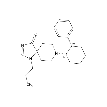 O=C1N=CN(CCC(F)(F)F)C12CCN([C@H]1CCCC[C@H]1c1ccccc1)CC2